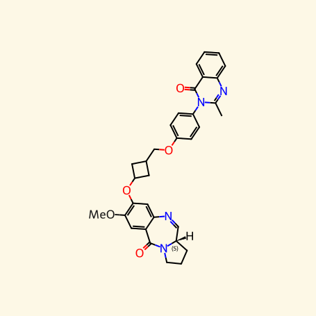 COc1cc2c(cc1OC1CC(COc3ccc(-n4c(C)nc5ccccc5c4=O)cc3)C1)N=C[C@@H]1CCCN1C2=O